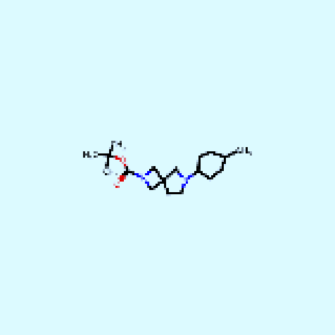 CC1CCC(N2CCC3(CN(C(=O)OC(C)(C)C)C3)C2)CC1